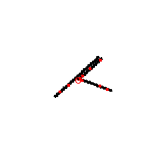 CCCCCCCCCCCCCCCCCCCCC(CCCCCCCCCCCCCCCCCCCC)C(=O)C(CCCCCCCCCCCCCCCCCCCC)CCCCCCCCCCCCCCCCCCCC